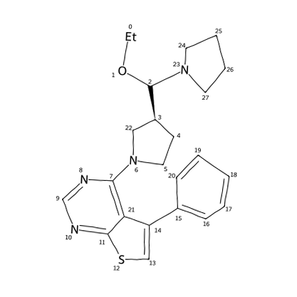 CCOC([C@H]1CCN(c2ncnc3scc(-c4ccccc4)c23)C1)N1CCCC1